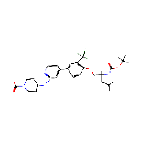 CC(C)CC(C)(COc1ccc(-c2ccnc(NC3CCN(C(=O)O)CC3)c2)cc1C(F)(F)F)NC(=O)OC(C)(C)C